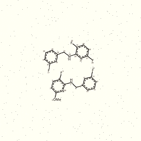 COc1ccc(F)c(NCc2cccc(F)c2)n1.Fc1cccc(CNc2nc(F)ccc2F)c1